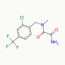 CN(Cc1ccc(C(F)(F)F)cc1Cl)C(=O)C(N)=O